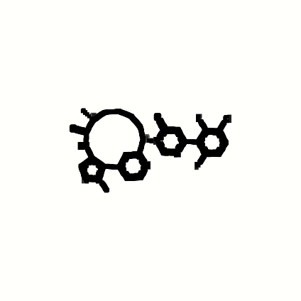 C[C@@H]1CCCC[C@H](n2cnc(-c3c(F)ccc(Cl)c3F)cc2=O)c2cc(ccn2)-c2c(cnn2C)NC1=O